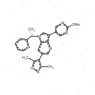 COc1ncc(-c2cn([C@@H](C)c3ccccn3)c3cc(-c4c(C)noc4C)cnc23)cn1